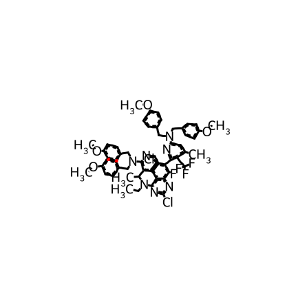 CCN(c1nc(Cl)nc2c(F)c(-c3nc(N(Cc4ccc(OC)cc4)Cc4ccc(OC)cc4)cc(C)c3C(F)(F)F)c(Cl)cc12)C(C)c1cccnc1N(Cc1ccc(OC)cc1)Cc1ccc(OC)cc1